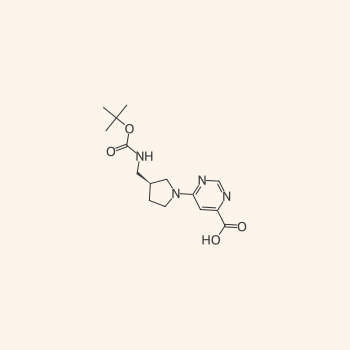 CC(C)(C)OC(=O)NC[C@@H]1CCN(c2cc(C(=O)O)ncn2)C1